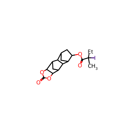 CCC(C)(I)C(=O)OC1CC2CC1C1C3CC(C4OC(=O)OC34)C21